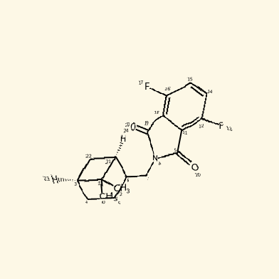 CC1(C)[C@H]2CCC(CN3C(=O)c4c(F)ccc(F)c4C3=O)[C@@H]1C2